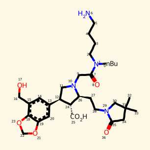 CCCCN(CCCCN)C(=O)CN1C[C@H](c2cc(CO)c3c(c2)OCO3)[C@@H](C(=O)O)[C@@H]1CCN1CC(C)(C)CC1=O